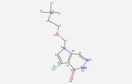 C[Si](C)(C)CCOCn1cc(Cl)c2c(=O)[nH]ncc21